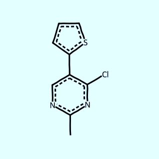 Cc1ncc(-c2cccs2)c(Cl)n1